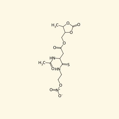 CC(=O)NC(CC(=O)OCC1OC(=O)OC1C)C(=S)NCCO[N+](=O)[O-]